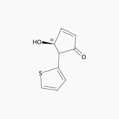 O=C1C=C[C@H](O)C1c1cccs1